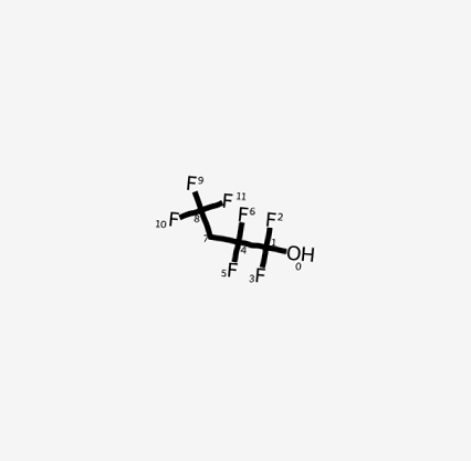 OC(F)(F)C(F)(F)CC(F)(F)F